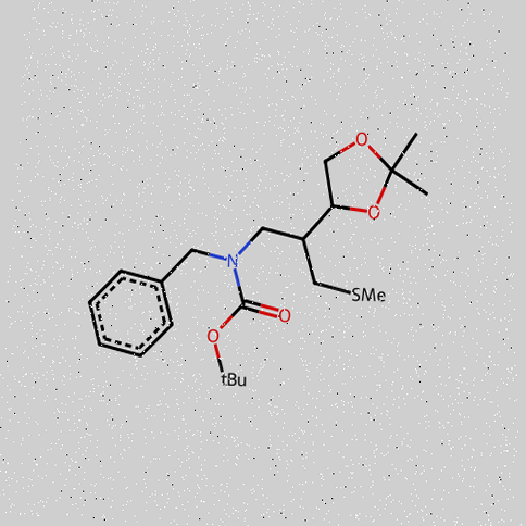 CSCC(CN(Cc1ccccc1)C(=O)OC(C)(C)C)C1COC(C)(C)O1